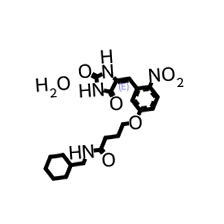 O.O=C(CCCOc1ccc([N+](=O)[O-])c(/C=C2/NC(=O)NC2=O)c1)NCC1CCCCC1